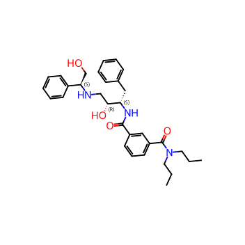 CCCN(CCC)C(=O)c1cccc(C(=O)N[C@@H](Cc2ccccc2)[C@H](O)CN[C@H](CO)c2ccccc2)c1